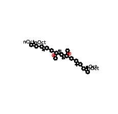 CCCCCCCCC1(CCCCCCCC)c2ccccc2-c2ccc(-c3ccc4c(c3)C(C)(C)c3cc(-c5ccc(-c6cc7c(c8c6oc6ccccc68)-c6cc8c(cc6[Si]7(C)C)-c6c(cc(-c7ccc(-c9ccc%10c(c9)C(C)(C)c9cc(-c%11ccc%12c(c%11)C(CCCCCCCC)(CCCCCCCC)c%11ccccc%11-%12)ccc9-%10)cc7)c7oc9ccccc9c67)[Si]8(C)C)cc5)ccc3-4)cc21